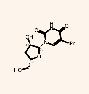 CC(C)c1cn([C@@H]2O[C@H](CO)C[C@H]2O)c(=O)[nH]c1=O